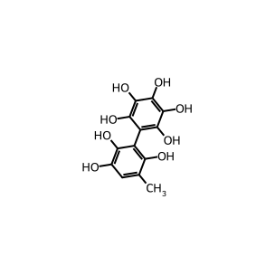 Cc1cc(O)c(O)c(-c2c(O)c(O)c(O)c(O)c2O)c1O